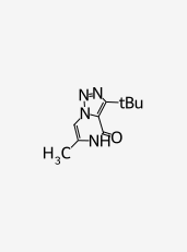 Cc1cn2nnc(C(C)(C)C)c2c(=O)[nH]1